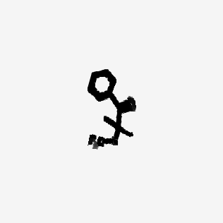 CC(C)(SC(F)(F)F)C(=O)c1ccccc1